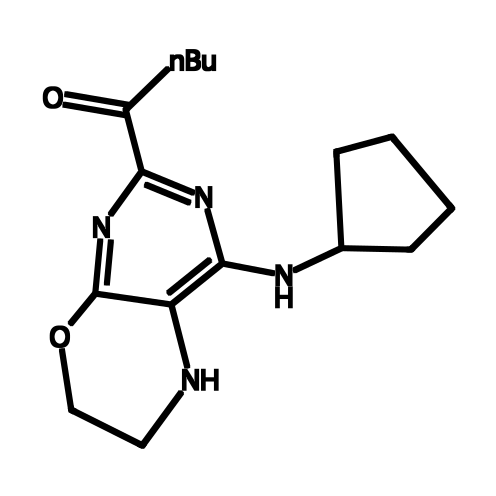 CCCCC(=O)c1nc(NC2CCCC2)c2c(n1)OCCN2